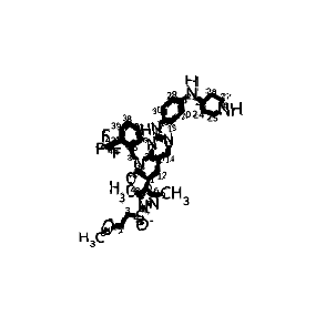 COCC[S+]([O-])n1nc(C)c(-c2cc3cnc(Nc4ccc(NC5CCNCC5)cc4)nc3n(Cc3ccccc3C(F)(F)F)c2=O)c1C